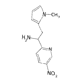 Cn1cccc1CC(N)c1ccc([N+](=O)[O-])cn1